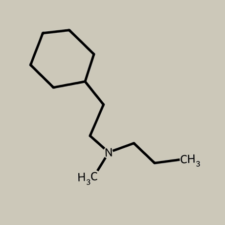 CCCN(C)CCC1CCCCC1